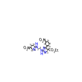 CCOC(=O)c1cnc(NCCNc2ccc([N+](=O)[O-])cn2)nc1-c1cccc([N+](=O)[O-])c1